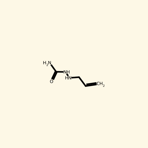 C=CCNNC(N)=O